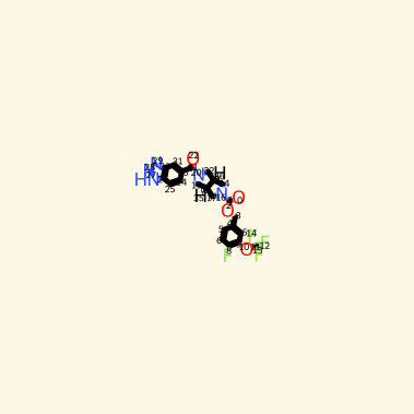 O=C(OCc1ccc(F)c(OC(F)(F)F)c1)N1C[C@@H]2CN(C(=O)c3ccc4[nH]nnc4c3)C[C@@H]2C1